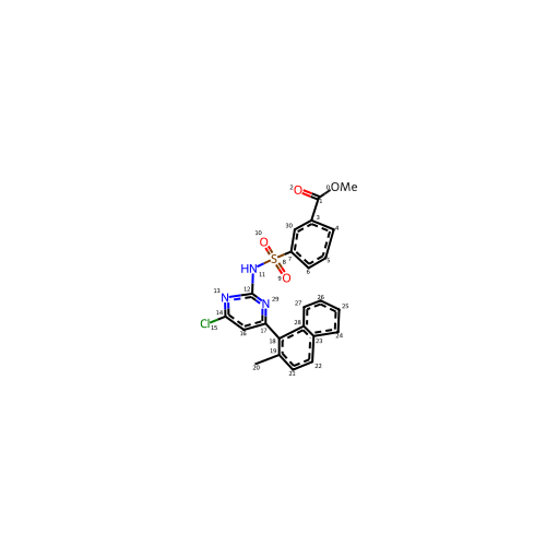 COC(=O)c1cccc(S(=O)(=O)Nc2nc(Cl)cc(-c3c(C)ccc4ccccc34)n2)c1